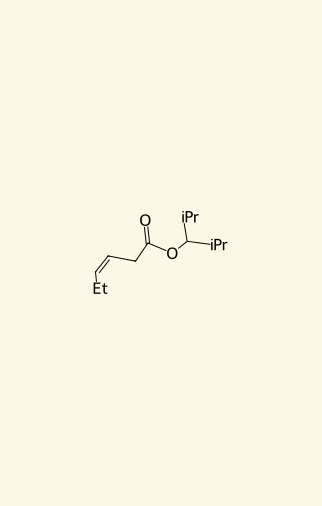 CC/C=C\CC(=O)OC(C(C)C)C(C)C